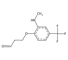 CNc1cc(C(F)(F)F)ccc1OCCC=O